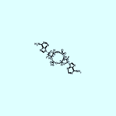 Nc1ncnc2c1ncn2[C@@H]1O[C@@H]2CNS(=O)(=O)O[C@H]3[C@@H](F)[C@H](n4cnc5c(N)ncnc54)O[C@@H]3COP(=O)(S)O[C@H]2[C@H]1F